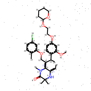 C/C=C1/NC(C)(C)C(=O)N(C)/C1=C(\COc1cc(F)ccc1C)C(C)c1ccc(OCCOC2CCCCO2)cc1OC